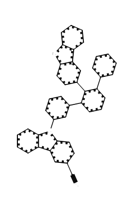 N#Cc1ccc2c(c1)c1ccccc1n2-c1cccc(-c2cccc(-c3ccccc3)c2-c2ccc3[nH]c4ccccc4c3c2)c1